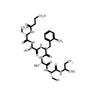 CCC[C@@H](NC(=O)[C@H](CC(=O)O)NC(=O)CCC(=O)O)C(=O)N[C@@H](Cc1ccccc1C)C(=O)N[C@H](C(=O)N[C@@H](CC(C)C)C(=O)NC(C=O)CC(F)(F)F)C(C)(C)C